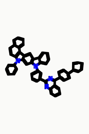 c1ccc(-c2ccc(-c3nc(-c4cccc(-n5c6ccccc6c6cc7c8c9ccccc9ccc8n(-c8ccccc8)c7cc65)c4)nc4ccccc34)cc2)cc1